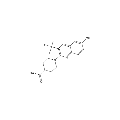 O=C(O)C1CCN(c2nc3ccc(O)cc3cc2C(F)(F)F)CC1